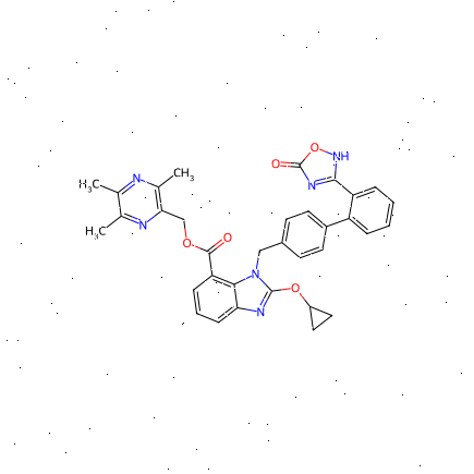 Cc1nc(C)c(COC(=O)c2cccc3nc(OC4CC4)n(Cc4ccc(-c5ccccc5-c5nc(=O)o[nH]5)cc4)c23)nc1C